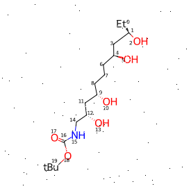 CC[C@@H](O)C[C@@H](O)CCC[C@H](O)C[C@H](O)CNC(=O)OC(C)(C)C